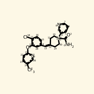 NC(=O)[N+]1(c2cccnc2)CCC(=Cc2ccc(Cl)c(Oc3ccc(C(F)(F)F)cn3)c2)CC1